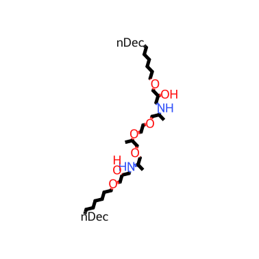 CCCCCCCCCCCCCCCCOCC(O)CNC(C)COCCOC(C)COCC(C)NCC(O)COCCCCCCCCCCCCCCCC